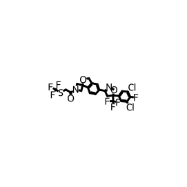 O=C(CSC(F)(F)F)N1CC2(C1)OCc1cc(C3=NOC(c4cc(Cl)c(F)c(Cl)c4)(C(F)(F)F)C3)ccc12